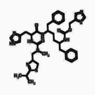 CC(C)C1=NC(CN(C)C(=O)NC(Cc2c[nH]cn2)C(=O)NC(CCC(Cc2ccccc2)NC(=O)OCc2cncs2)Cc2ccccc2)CS1